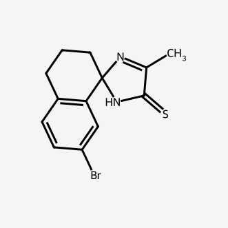 CC1=NC2(CCCc3ccc(Br)cc32)NC1=S